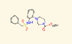 CC(C)(C)OC(=O)N1CCN(c2ccccc2NS(=O)(=O)Cc2ccccc2)CC1